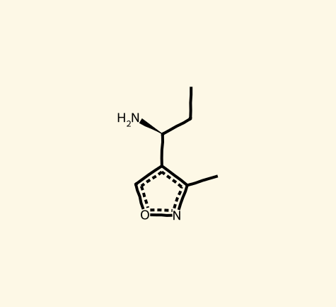 CC[C@H](N)c1conc1C